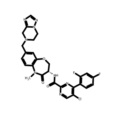 CN1C(=O)[C@@H](NC(=O)c2ncc(Cl)c(-c3ccc(F)cc3F)n2)COc2cc(CN3CCn4ncnc4C3)ccc21